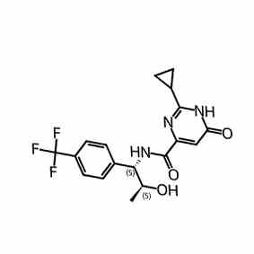 C[C@H](O)[C@@H](NC(=O)c1cc(=O)[nH]c(C2CC2)n1)c1ccc(C(F)(F)F)cc1